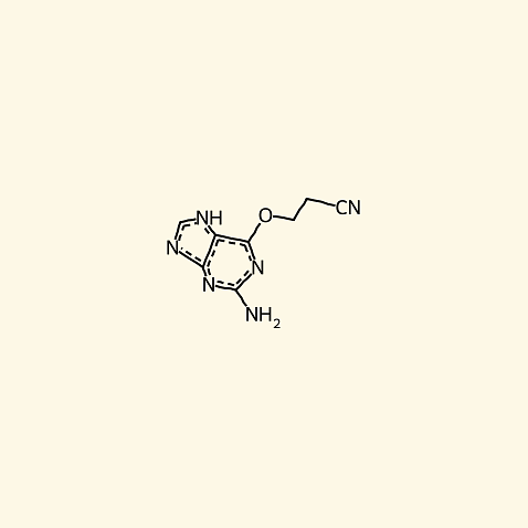 N#CCCOc1nc(N)nc2nc[nH]c12